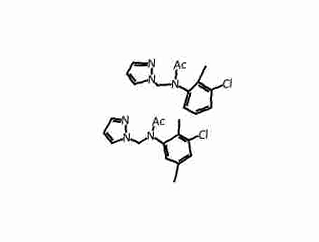 CC(=O)N(Cn1cccn1)c1cc(C)cc(Cl)c1C.CC(=O)N(Cn1cccn1)c1cccc(Cl)c1C